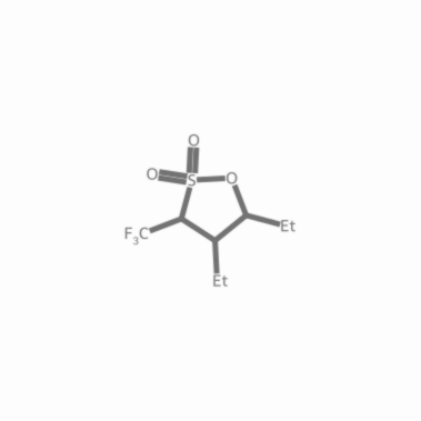 CCC1OS(=O)(=O)C(C(F)(F)F)C1CC